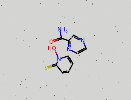 NC(=O)c1cnccn1.On1ccccc1=S